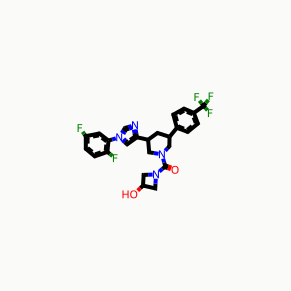 O=C(N1CC(O)C1)N1CC(c2ccc(C(F)(F)F)cc2)CC(c2cn(-c3cc(F)ccc3F)cn2)C1